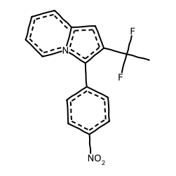 CC(F)(F)c1cc2ccccn2c1-c1ccc([N+](=O)[O-])cc1